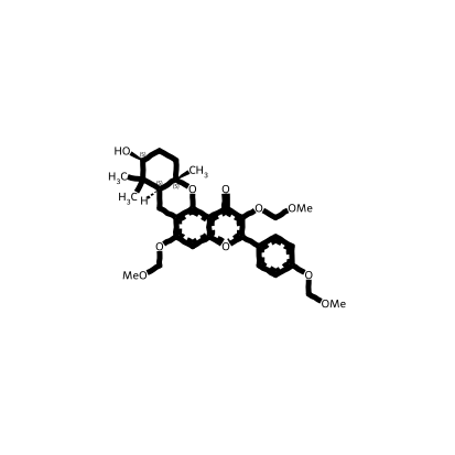 COCOc1ccc(-c2oc3cc(OCOC)c4c(c3c(=O)c2OCOC)O[C@@]2(C)CC[C@H](O)C(C)(C)[C@@H]2C4)cc1